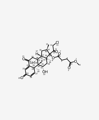 COC(=O)CCC(=O)O[C@]1(C(=O)CCl)[C@H](C)C[C@H]2[C@@H]3CC(=O)C4=CC(=O)C=C[C@]4(C)[C@@]3(F)[C@@H](O)C[C@@]21C